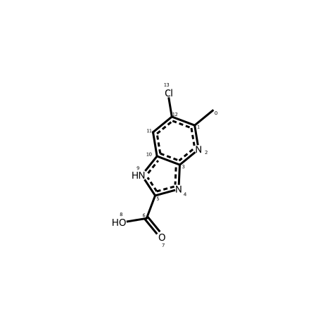 Cc1nc2nc(C(=O)O)[nH]c2cc1Cl